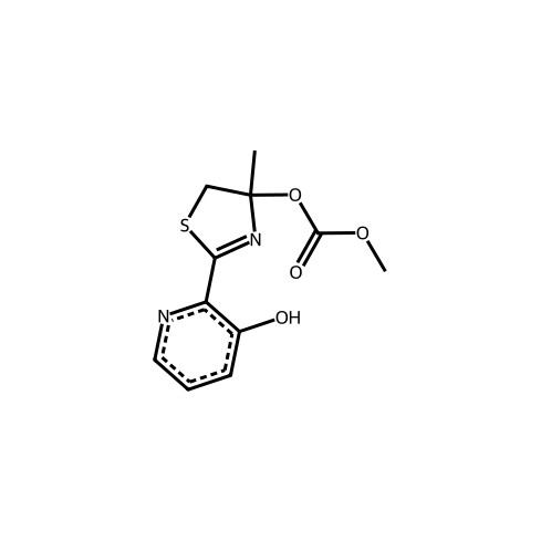 COC(=O)OC1(C)CSC(c2ncccc2O)=N1